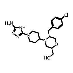 Nc1nnc(N2CCC(N3C[C@H](CO)OC[C@@H]3Cc3ccc(Cl)cc3)CC2)[nH]1